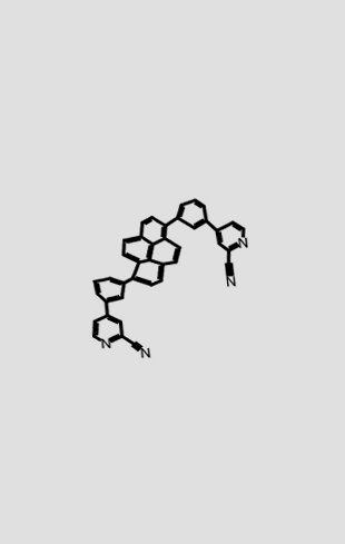 N#Cc1cc(-c2cccc(-c3ccc4ccc5c(-c6cccc(-c7ccnc(C#N)c7)c6)ccc6ccc3c4c65)c2)ccn1